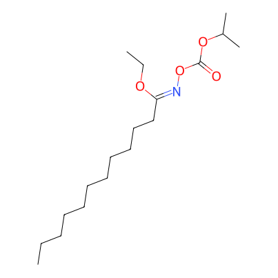 CCCCCCCCCCCC(=NOC(=O)OC(C)C)OCC